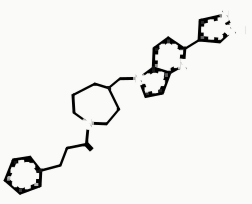 O=C(CCc1ccccc1)N1CCCC(Cn2ccc3nc(-c4cn[nH]c4)ccc32)CC1